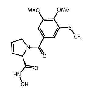 COc1cc(C(=O)N2CC=C[C@@H]2C(=O)NO)cc(SC(F)(F)F)c1OC